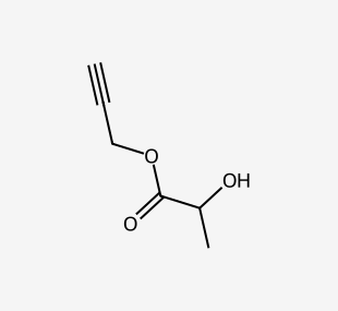 C#CCOC(=O)C(C)O